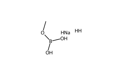 COB(O)O.[HH].[NaH]